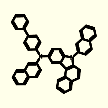 c1ccc(-c2ccc(N(c3ccc4ccccc4c3)c3ccc4c(c3)c3c5ccccc5ccc3n4-c3ccc4ccccc4c3)cc2)cc1